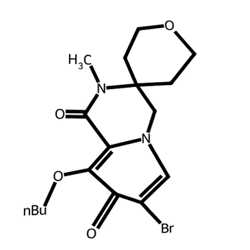 CCCCOc1c2n(cc(Br)c1=O)CC1(CCOCC1)N(C)C2=O